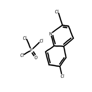 Clc1ccc2nc(Cl)ccc2c1.O=P(Cl)(Cl)Cl